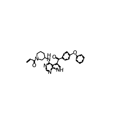 C=CC(=O)N1CCCC(Nc2ncnc3[nH]cc(C(=O)c4ccc(Oc5ccccc5)cc4)c23)C1